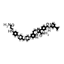 NC(=O)CCNc1ccc(N2CCC(CN3CCN(c4ccc5c(c4)CCn4nc(-c6ccc(C(=O)Nc7cc(C8CC8)ccn7)cc6)c(C(N)=O)c4N5)CC3)CC2)cc1